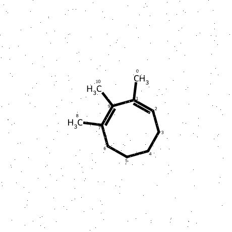 CC1=CCCCCC(C)=C1C